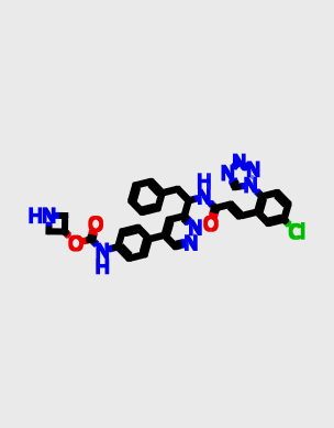 O=C(C=Cc1cc(Cl)ccc1-n1cnnn1)NC(Cc1ccccc1)c1cc(-c2ccc(NC(=O)OC3CNC3)cc2)cnn1